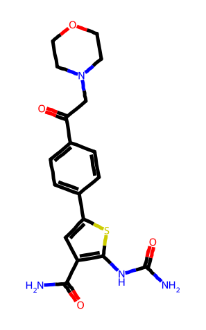 NC(=O)Nc1sc(-c2ccc(C(=O)CN3CCOCC3)cc2)cc1C(N)=O